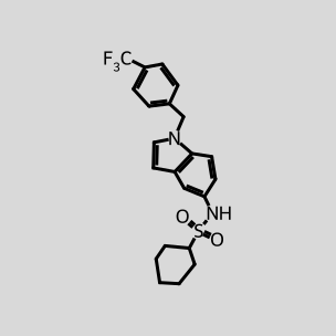 O=S(=O)(Nc1ccc2c(ccn2Cc2ccc(C(F)(F)F)cc2)c1)C1CCCCC1